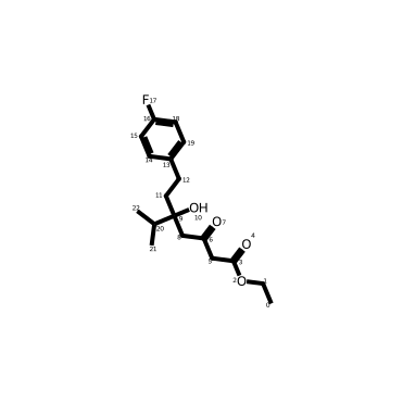 CCOC(=O)CC(=O)CC(O)(CCc1ccc(F)cc1)C(C)C